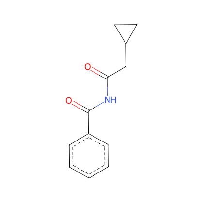 O=C(CC1CC1)NC(=O)c1ccccc1